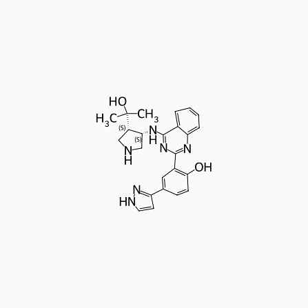 CC(C)(O)[C@H]1CNC[C@H]1Nc1nc(-c2cc(-c3cc[nH]n3)ccc2O)nc2ccccc12